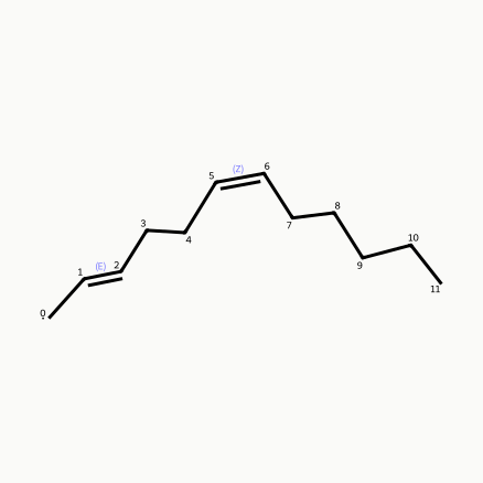 [CH2]/C=C/CC/C=C\CCCCC